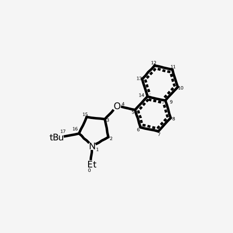 CCN1CC(Oc2cccc3ccccc23)CC1C(C)(C)C